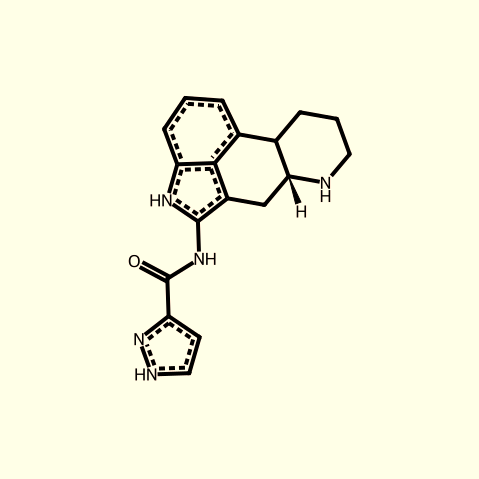 O=C(Nc1[nH]c2cccc3c2c1C[C@H]1NCCCC31)c1cc[nH]n1